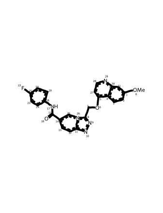 COc1ccc2c(OCc3nnc4ccc(C(=O)Nc5ccc(F)cc5)cn34)ccnc2c1